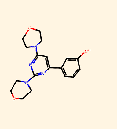 Oc1cccc(-c2cc(N3CCOCC3)nc(N3CCOCC3)n2)c1